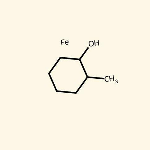 CC1CCCCC1O.[Fe]